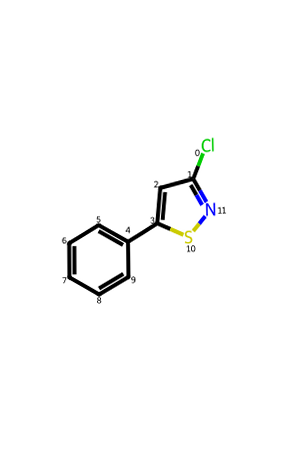 Clc1cc(-c2ccccc2)sn1